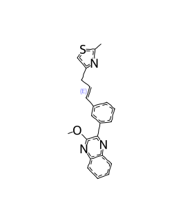 COc1nc2ccccc2nc1-c1cccc(/C=C/Cc2csc(C)n2)c1